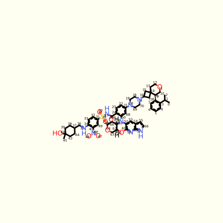 CC(C)c1ccccc1[C@@H]1COCCC12CC(N1CCN(c3ccc(C(=O)NS(=O)(=O)c4ccc(NCC5CCC(C)(O)CC5)c([N+](=O)[O-])c4)c(N4c5cc6cc[nH]c6nc5O[C@H]5COCC[C@@H]54)c3)CC1)C2